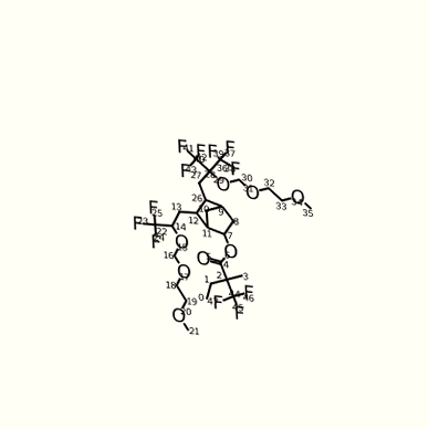 CCC(C)(C(=O)OC1CC2CC1C(CC(OCOCCOC)C(F)(F)F)C2CC(OCOCCOC)(C(F)(F)F)C(F)(F)F)C(F)(F)F